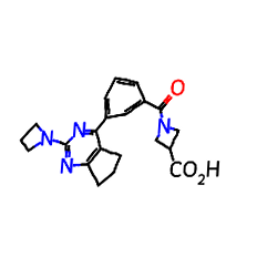 O=C(O)C1CN(C(=O)c2cccc(-c3nc(N4CCC4)nc4c3CCC4)c2)C1